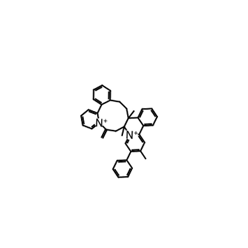 C=C1CC2(C)[n+]3cc(-c4ccccc4)c(C)cc3-c3ccccc3C2(C)CCc2ccccc2-c2cccc[n+]21